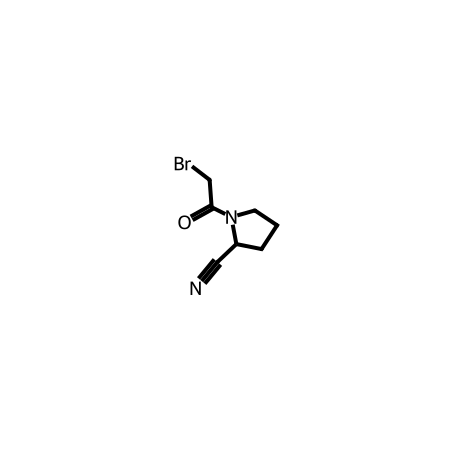 N#CC1CCCN1C(=O)CBr